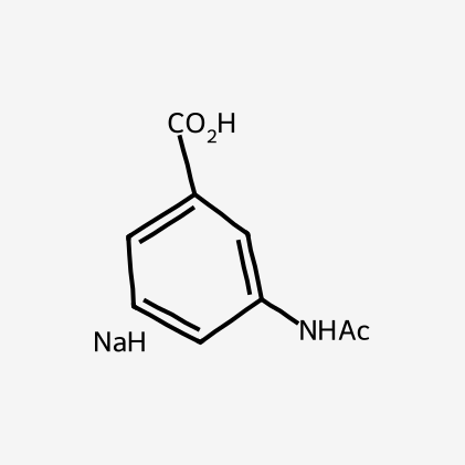 CC(=O)Nc1cccc(C(=O)O)c1.[NaH]